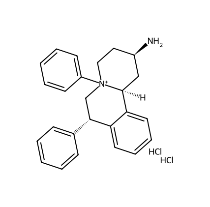 Cl.Cl.N[C@@H]1CC[N+]2(c3ccccc3)C[C@@H](c3ccccc3)c3ccccc3[C@@H]2C1